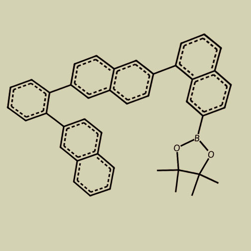 CC1(C)OB(c2ccc3cccc(-c4ccc5cc(-c6ccccc6-c6ccc7ccccc7c6)ccc5c4)c3c2)OC1(C)C